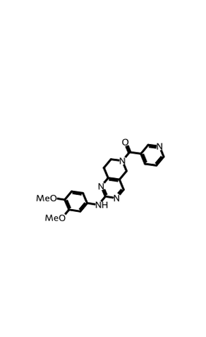 COc1ccc(Nc2ncc3c(n2)CCN(C(=O)c2cccnc2)C3)cc1OC